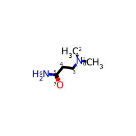 CN(C)CCC(N)=O